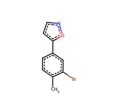 Cc1ccc(-c2ccno2)cc1Br